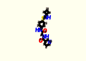 O=C(CNC(=O)c1cccnc1)Nc1ccc(SNC2CCC2)cc1